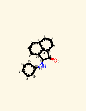 O=C1c2cccc3cccc(c23)C1Nc1ccccc1